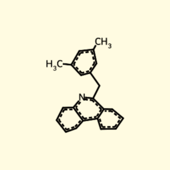 Cc1cc(C)cc(Cc2nc3ccccc3c3ccccc23)c1